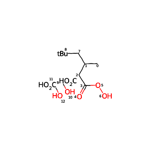 CC(CC(=O)OO)CC(C)(C)C.O=C(O)O.O=C(O)O